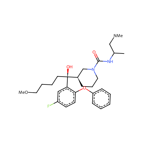 CNCC(C)NC(=O)N1CCC[C@@H]([C@@](O)(CCCCOC)c2cc(F)ccc2Oc2ccccc2)C1